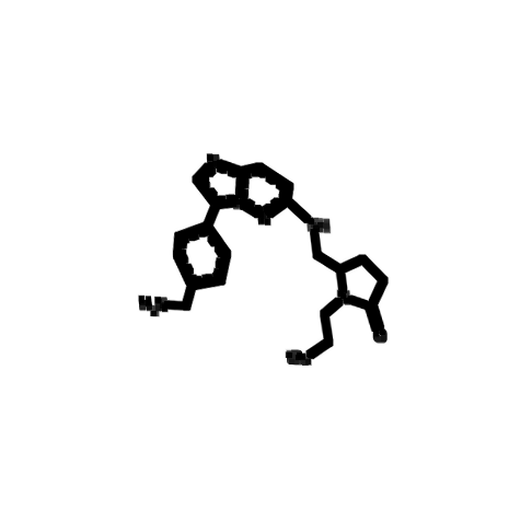 CC(C)(C)CCN1C(=O)CCC1CNc1ccc2ncc(-c3ccc(CN)cc3)n2n1